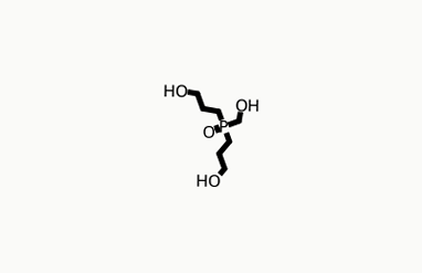 O=P(CO)(CCCO)CCCO